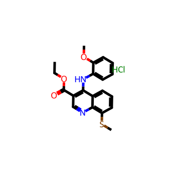 CCOC(=O)c1cnc2c(SC)cccc2c1Nc1ccccc1OC.Cl